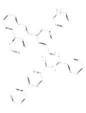 c1ccc(-c2ccc(-c3nc(-c4ccccc4)nc(-c4cc(-c5cccnc5)cc(-c5cc6ccccc6c6ccccc56)c4)n3)cc2)cc1